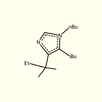 CCCCn1cnc(C(C)(C)CC)c1C(C)CC